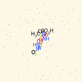 CC1(C)SC2C(NC(=O)CC3SC(=NN=Cc4ccccc4F)NC3=O)C(=O)N2C1C(=O)O